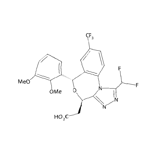 COc1cccc([C@H]2O[C@H](CC(=O)O)c3nnc(C(F)F)n3-c3ccc(C(F)(F)F)cc32)c1OC